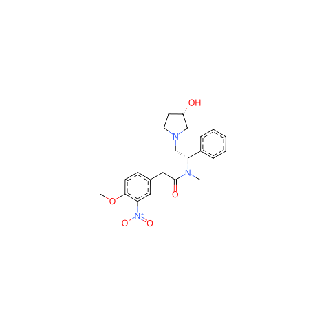 COc1ccc(CC(=O)N(C)[C@H](CN2CC[C@H](O)C2)c2ccccc2)cc1[N+](=O)[O-]